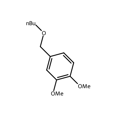 CCCCOCc1ccc(OC)c(OC)c1